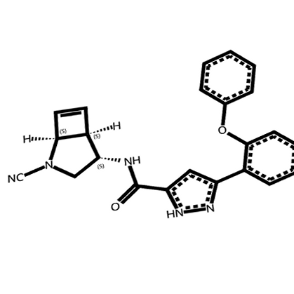 N#CN1C[C@@H](NC(=O)c2cc(-c3ccccc3Oc3ccccc3)n[nH]2)[C@@H]2C=C[C@@H]21